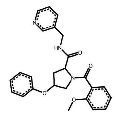 COc1ccccc1C(=O)N1CC(Oc2ccccc2)CC1C(=O)NCc1cccnc1